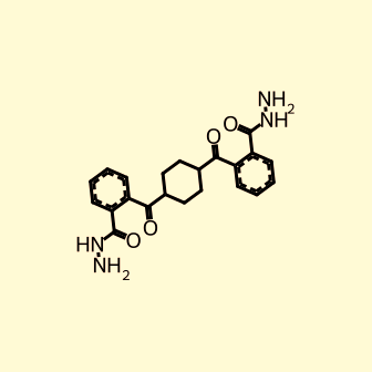 NNC(=O)c1ccccc1C(=O)C1CCC(C(=O)c2ccccc2C(=O)NN)CC1